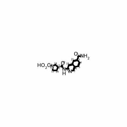 NC(=O)c1ccc2cnc(NC(=O)[C@H]3CCN(C(=O)O)C3)cc2c1